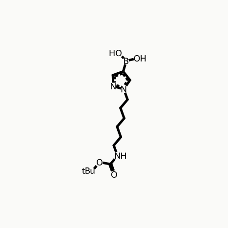 CC(C)(C)OC(=O)NCCCCCCn1cc(B(O)O)cn1